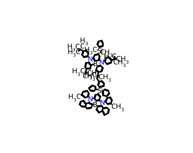 Cc1cccc(N2c3cc([Si](c4ccccc4)(c4ccccc4)c4cccc(CC(C)(C)c5ccc6c(c5)B5c7cc(C(C)(C)C)ccc7N(c7ccc(C(C)(C)C)cc7)c7cc([Si](C)(C)c8ccccc8)cc(c75)N6c5ccc(C(C)(C)C)cc5)c4)cc4c3B(c3ccc5ccccc5c32)c2ccc3ccccc3c2N4c2cccc(C)c2)c1